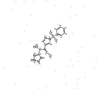 O=C=C(c1cnn(S(=O)(=O)c2ccccc2)c1)C(O)c1nn[nH]n1